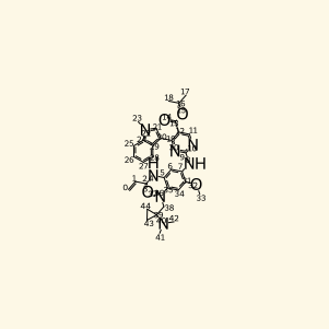 C=CC(=O)Nc1cc(Nc2ncc(C(=O)OC(C)C)c(-c3cn(C)c4ccccc34)n2)c(OC)cc1N(C)CC1(N(C)C)CC1